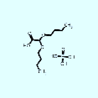 CCCCOC(OCCCC)C(=O)O.O=P(O)(O)O